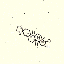 C[C@]12CCC3(C=C1CC[C@@H]1[C@@H]2CC[C@]2(C)C(=O)NC[C@@H]12)SCCS3